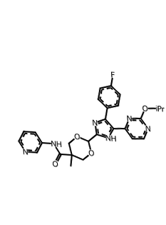 CC(C)Oc1nccc(-c2[nH]c(C3OCC(C)(C(=O)Nc4cccnc4)CO3)nc2-c2ccc(F)cc2)n1